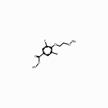 CCCOC(=O)c1cc(F)c(OCCOC(C)(C)C)c(F)c1